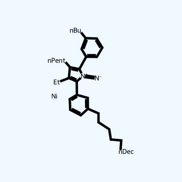 CCCCCCCCCCCCCCCc1cccc(C2=C(CC)C(CCCCC)=C(c3cccc(CCCC)c3)[N+]2=[N-])c1.[Ni]